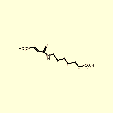 O=C(O)C=CC(=O)NCCCCCCC(=O)O